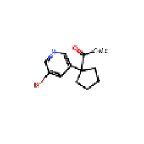 COC(=O)C1(c2cncc(Br)c2)CCCC1